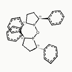 c1ccc([C@@H]2CC[C@@H](c3ccccc3)P2OP2[C@H](c3ccccc3)CC[C@H]2c2ccccc2)cc1